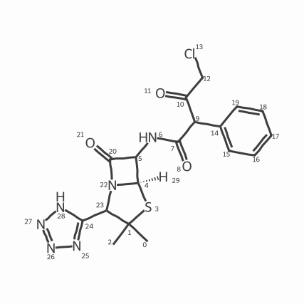 CC1(C)S[C@@H]2C(NC(=O)C(C(=O)CCl)c3ccccc3)C(=O)N2C1c1nnn[nH]1